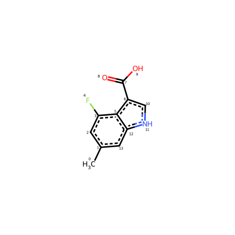 Cc1cc(F)c2c(C(=O)O)c[nH]c2c1